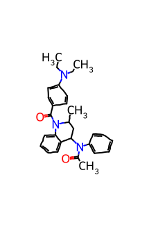 CCN(CC)c1ccc(C(=O)N2c3ccccc3C(N(C(C)=O)c3ccccc3)CC2C)cc1